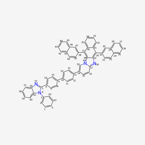 c1ccc(-n2c(-c3ccc(-c4ccc(-c5ccc6nc7c(-c8ccc9ccccc9c8)c8ccccc8c(-c8ccc9ccccc9c8)c7n6c5)cc4)cc3)nc3ccccc32)cc1